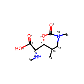 CN[C@H](C(=O)O)[C@@H]1OC(=O)N(C)C[C@H]1C